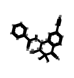 CC1(C)C(=O)c2ccc(C#N)cc2[C@@H](NC(=O)c2ccccc2)[C@@H]1O